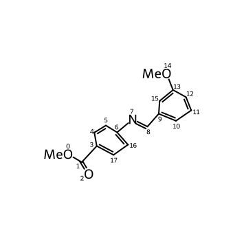 COC(=O)c1ccc(/N=C/c2cccc(OC)c2)cc1